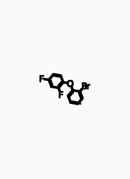 Fc1ccc(Oc2cc[c]cc2Br)c(F)c1